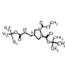 COC(=O)[C@@H]1C[C@H](CNC(=O)OC(C)(C)C)CN1C(=O)OC(C)(C)C